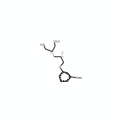 COc1cccc(OC[C@@H](C)C[C@H](CN)CC(=O)O)c1